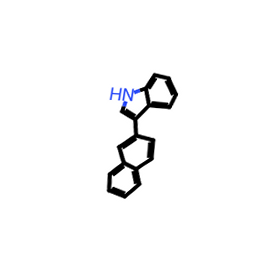 c1ccc2cc(-c3c[nH]c4ccccc34)ccc2c1